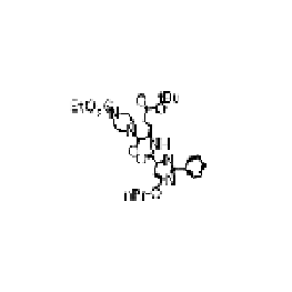 CCCOc1cc(C(=O)NC(CCC(=O)OC(C)(C)C)C(=O)N2CCN(C(=O)OCC)CC2)nc(-c2ccccc2)n1